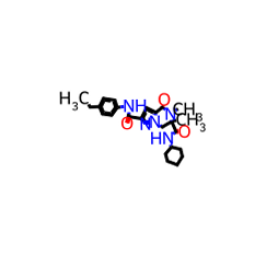 CCc1ccc(NC(=O)c2cc3n(n2)CC(C)(C(=O)NC2CCCCC2)N(C)C3=O)cc1